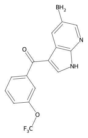 Bc1cnc2[nH]cc(C(=O)c3cccc(OC(F)(F)F)c3)c2c1